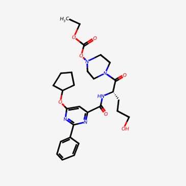 CCOC(=O)ON1CCN(C(=O)[C@H](CCCO)NC(=O)c2cc(OC3CCCC3)nc(-c3ccccc3)n2)CC1